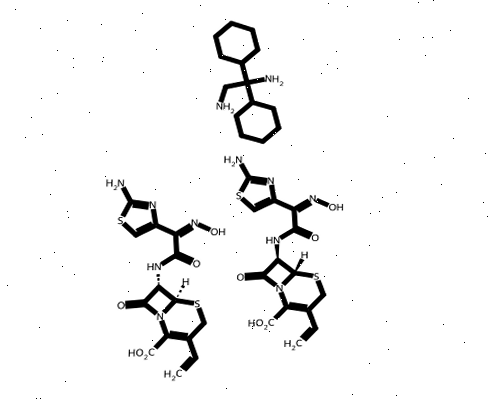 C=CC1=C(C(=O)O)N2C(=O)[C@@H](NC(=O)/C(=N\O)c3csc(N)n3)[C@@H]2SC1.C=CC1=C(C(=O)O)N2C(=O)[C@H](NC(=O)/C(=N\O)c3csc(N)n3)[C@H]2SC1.NCC(N)(C1CCCCC1)C1CCCCC1